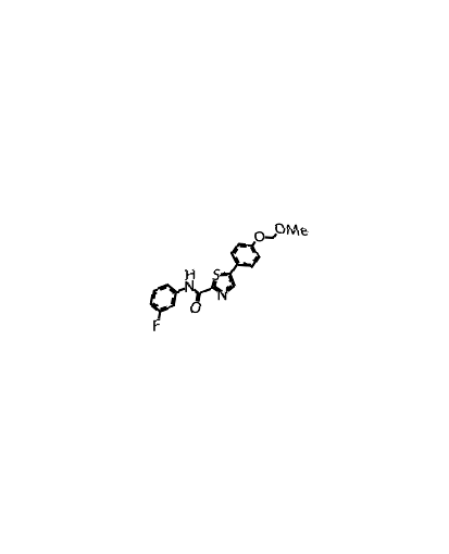 COCOc1ccc(-c2cnc(C(=O)Nc3cccc(F)c3)s2)cc1